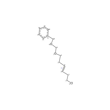 ClCC/C=C/CCOCOCc1ccccc1